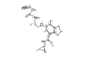 Cc1c(OC[C@H](C)NC(=O)OC(C)(C)C)cc(C(=O)NC2CC2)c2c1CCC2